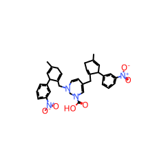 CC1=CC(c2cccc([N+](=O)[O-])c2)C(CC2=CN(C(=O)O)CN(CC3=CCC(C)=CC3c3cccc([N+](=O)[O-])c3)C=C2)=CC1